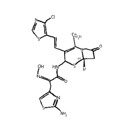 Nc1nc(C(=NO)C(=O)NC2S[C@H]3CC(=O)N3C(C(=O)O)=C2C=Cc2scnc2Cl)cs1